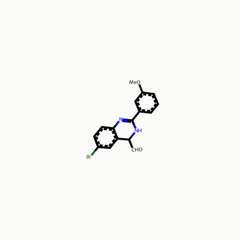 COc1cccc(C2=Nc3ccc(Br)cc3C(C=O)N2)c1